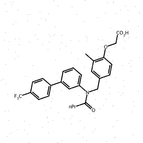 CCCC(=O)N(Cc1ccc(OCC(=O)O)c(C)c1)c1cccc(-c2ccc(C(F)(F)F)cc2)c1